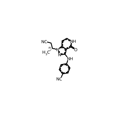 C[C@H](CC#N)n1nc(Nc2ccc(C#N)cc2)c2c(=O)[nH]ccc21